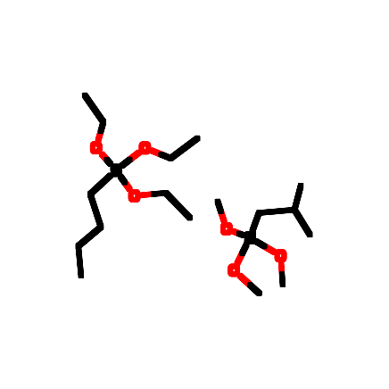 CCCC[Si](OCC)(OCC)OCC.CO[Si](CC(C)C)(OC)OC